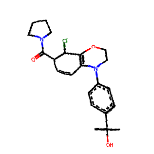 CC(C)(O)c1ccc(N2CCOC3=C2C=CC(C(=O)N2CCCC2)C3Cl)cc1